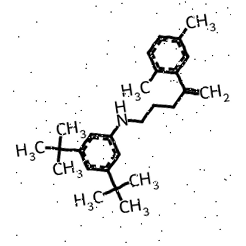 C=C(CCCNc1cc(C(C)(C)C)cc(C(C)(C)C)c1)c1cc(C)ccc1C